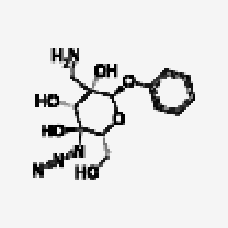 [N-]=[N+]=N[C@]1(O)[C@H](O)[C@@](O)(CN)[C@@H](Oc2ccccc2)O[C@@H]1CO